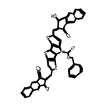 O=C1C(=Cc2cc3sc4c5sc(/C=C6\C(=O)c7cc8ccccc8cc7C6O)cc5n(C(=O)OCc5ccccc5)c4c3s2)C(=O)c2cc3ccccc3cc21